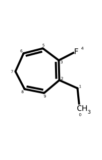 CCC1=C(F)C=CCC=C1